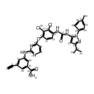 C#Cc1cc(Nc2nccc(Oc3ccc(NC(=O)Nc4cc(C(C)C)nn4-c4ccc(C)cc4)c(Cl)c3Cl)n2)cc(C(N)=O)c1